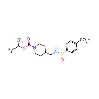 O=C(O)c1ccc([S+]([O-])NCC2CCN(C(=O)OC(C(F)(F)F)C(F)(F)F)CC2)cc1